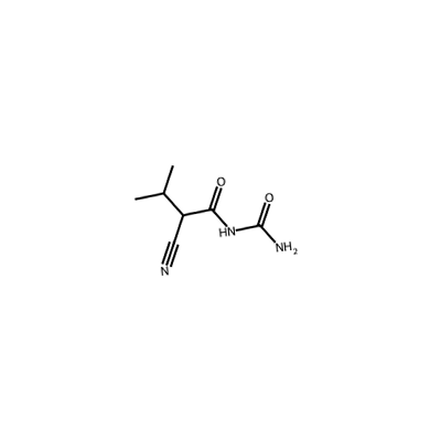 CC(C)C(C#N)C(=O)NC(N)=O